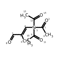 CC(=O)[Si](C=C(C)C=O)(C(C)=O)C(C)=O